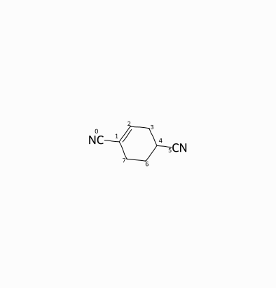 N#CC1=CCC(C#N)CC1